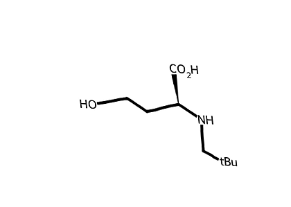 CC(C)(C)CN[C@@H](CCO)C(=O)O